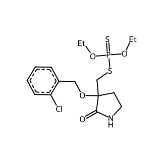 CCOP(=S)(OCC)SCC1(OCc2ccccc2Cl)CCNC1=O